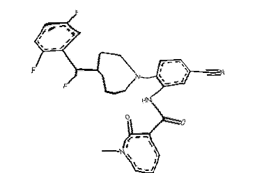 Cn1cccc(C(=O)Nc2cc(C#N)ccc2N2CCC(C(F)c3cc(F)ccc3F)CC2)c1=O